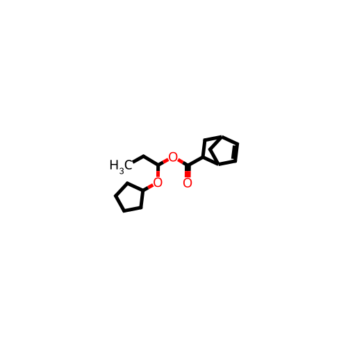 CCC(OC(=O)C1CC2C=CC1C2)OC1CCCC1